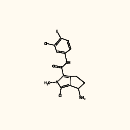 Cn1c(Cl)c2c(c1C(=O)Nc1ccc(F)c(Cl)c1)CCC2N